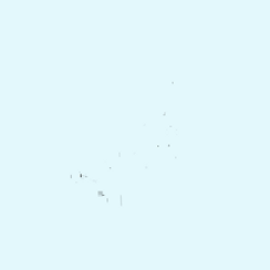 CCCOC(C)(CC)COC(C)(C)C(=O)O